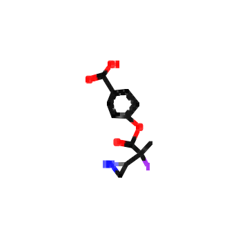 CC(I)(C(=O)Oc1ccc(C(=O)O)cc1)C1CN1